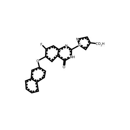 O=C(O)c1cnn(-c2nc3cc(F)c(Oc4ccc5ccccc5c4)cc3c(=O)[nH]2)c1